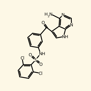 Nc1ncnc2[nH]cc(C(=O)c3cccc(NS(=O)(=O)c4c(Cl)cccc4Cl)c3)c12